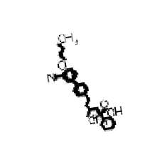 CCCCCOc1ccc(-c2ccc(CCC(CC)C[C@@](F)(C(=O)O)C3CCCCC3)cc2)cc1C#N